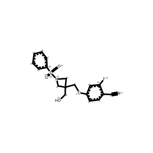 N#Cc1ccc(OCC2(CO)CN(S(=O)(=O)c3ccccc3)C2)cc1F